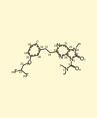 CN(C)C(=O)n1c(=O)n(C)c2cnc(CCc3cccc(OCC(F)F)c3)nc21